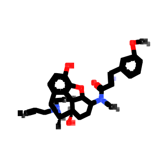 C=CCN1CC[C@]23c4c5ccc(O)c4OC2C(N(C)C(=O)/C=C/c2cccc(OC)c2)CC[C@@]3(O)[C@H]1C5